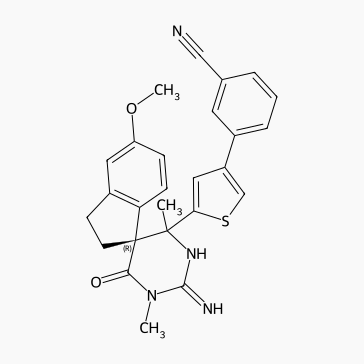 COc1ccc2c(c1)CC[C@@]21C(=O)N(C)C(=N)NC1(C)c1cc(-c2cccc(C#N)c2)cs1